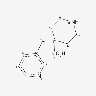 O=C(O)C1(Cc2cccnc2)CCNCC1